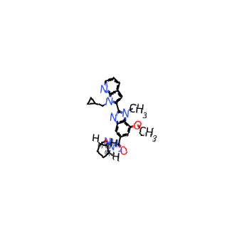 COc1cc(C(=O)N2C[C@H]3CC[C@@H]2[C@@H]3N)cc2nc(-c3cc4cccnc4n3CC3CC3)n(C)c12